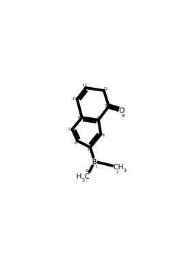 CB(C)c1ccc2c(c1)C(=O)CC=C2